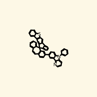 C1=Cc2ccc(-c3ccc4c(c3)c3ncccc3n4-c3ccccc3)cc2C2(c3ccccc31)c1ccccc1-c1cc3sc4ccccc4c3cc12